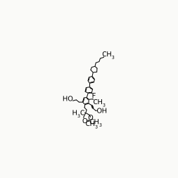 CCCCCC1CCC(c2ccc(-c3ccc(-c4cc(CCCO)c(CCC5(C)COC(C)(C)OC5)c(C#CCO)c4CC)c(F)c3)cc2)CC1